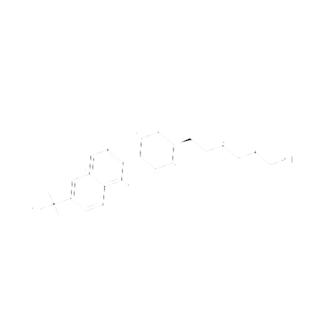 CCCCCCC[C@H]1CC[C@H](c2ccc3cc(C(F)(F)F)ccc3c2)CC1